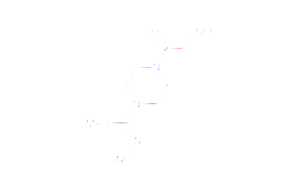 CS/C(=N\C#N)N1CCN(C(=O)OC(C)(C)C)CC1